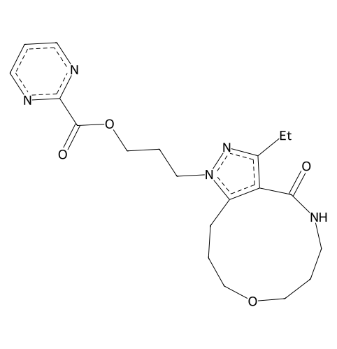 CCc1nn(CCCOC(=O)c2ncccn2)c2c1C(=O)NCCCOCCC2